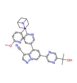 COc1ccc(CN2C3CC2CN(c2ccc(-c4cc(-c5cnc(C(C)(C)O)cn5)cn5ncc(C#N)c45)cn2)C3)cn1